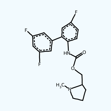 CN1CCCC1COC(=O)Nc1ccc(F)cc1-c1cc(F)cc(F)c1